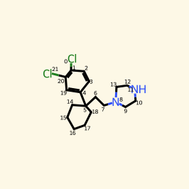 Clc1ccc(C2(CCN3CCNCC3)CCCCC2)cc1Cl